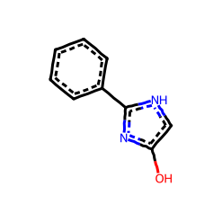 Oc1c[nH]c(-c2ccccc2)n1